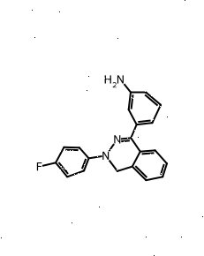 Nc1cccc(C2=NN(c3ccc(F)cc3)Cc3ccccc32)c1